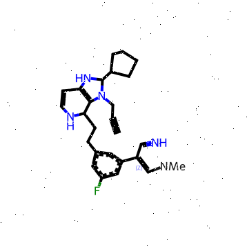 C#CCN1C2=C(C=CNC2CCc2cc(F)cc(/C(C=N)=C/NC)c2)NC1C1CCCC1